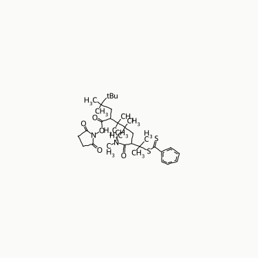 CN(C)C(=O)C(CC(C)(C)C(C)(C)C(CC(C)(C)C(C)(C)C)C(=O)ON1C(=O)CCC1=O)C(C)(C)SC(=S)c1ccccc1